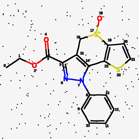 CCOC(=O)c1nn(-c2ccccc2)c2c1C[S+]([O-])c1ccsc1-2